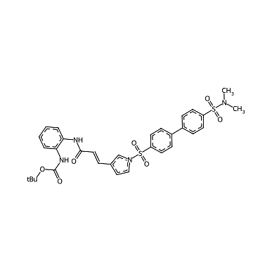 CN(C)S(=O)(=O)c1ccc(-c2ccc(S(=O)(=O)n3ccc(C=CC(=O)Nc4ccccc4NC(=O)OC(C)(C)C)c3)cc2)cc1